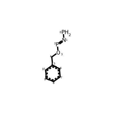 PN=POCc1ccccc1